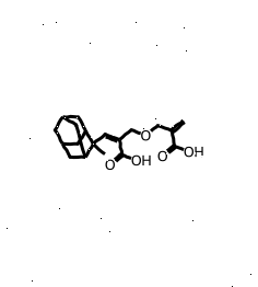 C=C(COC/C(=C/C1(C)C2CC3CC(C2)CC1C3)C(=O)O)C(=O)O